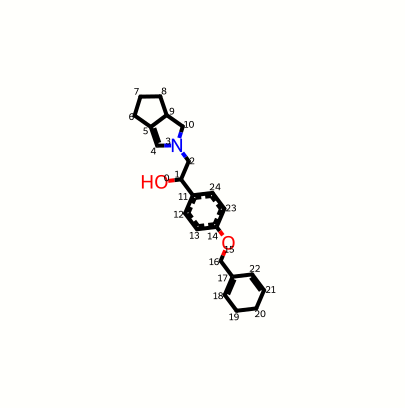 OC(CN1C=C2CCCC2C1)c1ccc(OCC2=CCCC=C2)cc1